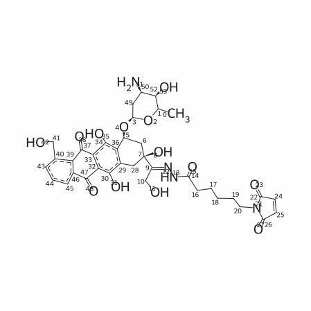 CC1O[C@@H](O[C@H]2C[C@](O)(/C(CO)=N/NC(=O)CCCCCN3C(=O)C=CC3=O)Cc3c(O)c4c(c(O)c32)C(=O)c2c(CO)cccc2C4=O)C[C@@H](N)[C@H]1O